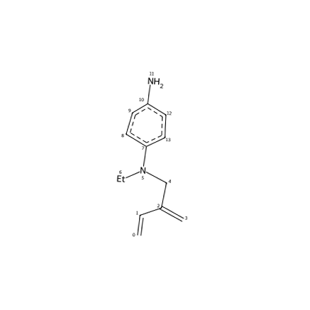 C=CC(=C)CN(CC)c1ccc(N)cc1